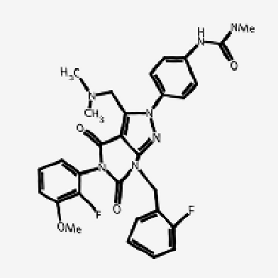 CNC(=O)Nc1ccc(-n2nc3c(c2CN(C)C)c(=O)n(-c2cccc(OC)c2F)c(=O)n3Cc2ccccc2F)cc1